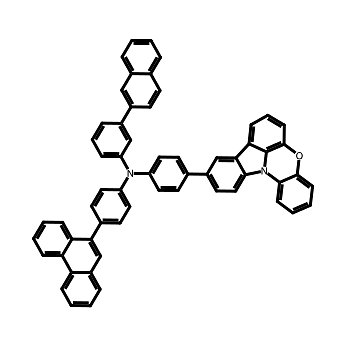 c1cc(-c2ccc3ccccc3c2)cc(N(c2ccc(-c3ccc4c(c3)c3cccc5c3n4-c3ccccc3O5)cc2)c2ccc(-c3cc4ccccc4c4ccccc34)cc2)c1